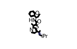 C/C(=C\C(C)C)c1ccnc2c(C)c(C(=O)NC3CCOc4ccccc43)sc12